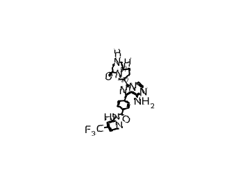 Nc1nccn2c([C@@H]3CC[C@H]4CNCC(=O)N4C3)nc(-c3ccc(C(=O)Nc4cc(C(F)(F)F)ccn4)cc3)c12